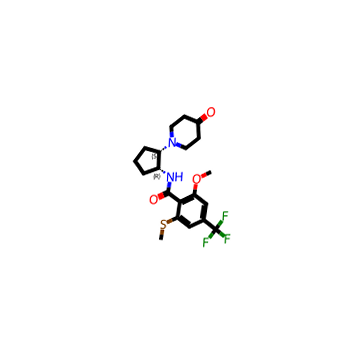 COc1cc(C(F)(F)F)cc(SC)c1C(=O)N[C@@H]1CCC[C@@H]1N1CCC(=O)CC1